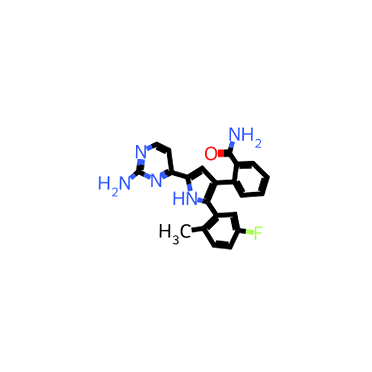 Cc1ccc(F)cc1-c1[nH]c(-c2ccnc(N)n2)cc1-c1ccccc1C(N)=O